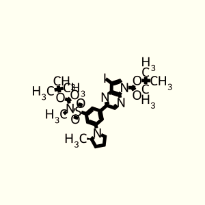 C[C@@H]1CCCN1c1cc(-c2cnc3c(n2)c(I)cn3C(=O)OC(C)(C)C)cc(S(=O)(=O)N(C)C(=O)OC(C)(C)C)c1